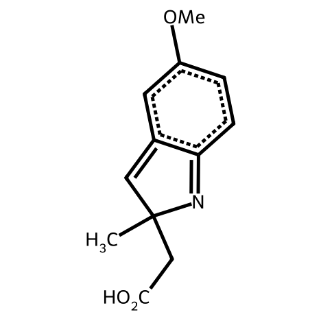 COc1ccc2c(c1)=CC(C)(CC(=O)O)N=2